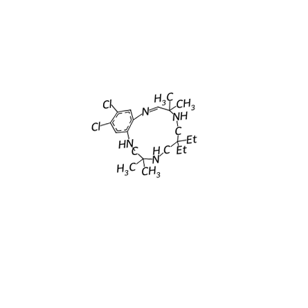 CCC1(CC)CNC(C)(C)C=Nc2cc(Cl)c(Cl)cc2NCC(C)(C)NC1